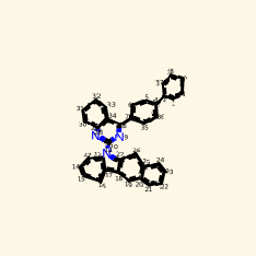 c1ccc(-c2ccc(-c3nc(-n4c5ccccc5c5cc6ccccc6cc54)nc4ccccc34)cc2)cc1